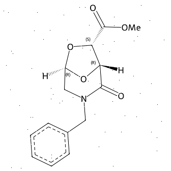 COC(=O)[C@H]1O[C@@H]2CN(Cc3ccccc3)C(=O)[C@@H]1O2